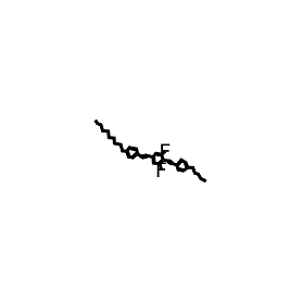 CCCCCCCCCCc1ccc(C#Cc2cc(F)c(C#Cc3ccc(CCCCC)cc3)c(F)c2)cc1